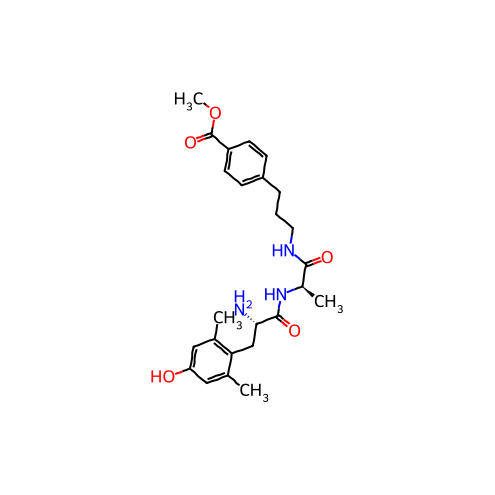 COC(=O)c1ccc(CCCNC(=O)[C@@H](C)NC(=O)[C@@H](N)Cc2c(C)cc(O)cc2C)cc1